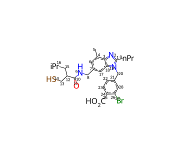 CCCc1nc2c(C)cc(CNC(=O)C(CS)CC(C)C)cc2n1Cc1ccc(C(=O)O)c(Br)c1